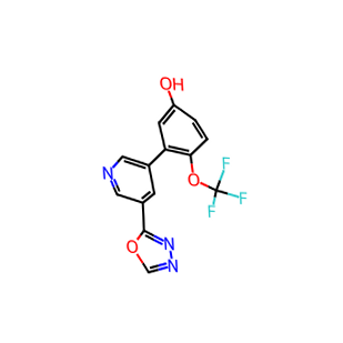 Oc1ccc(OC(F)(F)F)c(-c2cncc(-c3nnco3)c2)c1